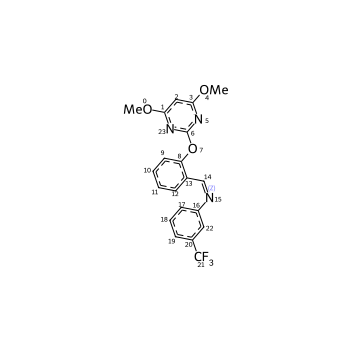 COc1cc(OC)nc(Oc2ccccc2/C=N\c2cccc(C(F)(F)F)c2)n1